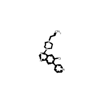 C=CCN1CCN(c2ncnc3cc(-c4cccnc4)c(Cl)cc23)CC1